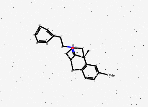 COc1ccc2c(c1)[C@@]1(C)CCCC(C2)/C1=N\CCc1ccccc1